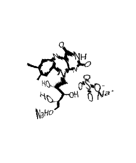 Cc1cc2nc3c(=O)[nH]c(=O)nc-3n(C[C@@H](O)[C@@H](O)[C@@H](O)CO)c2cc1C.O=S(=O)([O-])[O-].[Na+].[Na+]